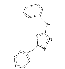 c1ccc([Se]c2nnc(-c3ccccc3)o2)cc1